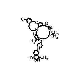 CO[C@@]1(CN2CCN(c3ccc(B(O)O)c(C(C)=O)c3)CC2)/C=C/C[C@H](C)[C@@H](C)S(=O)(=O)NC(=O)c2ccc3c(c2)N(CCCCc2cc(Cl)ccc2CO3)C[C@@H]2CC[C@H]21